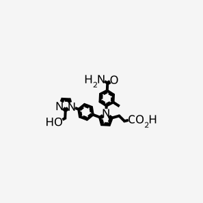 Cc1cc(C(N)=O)ccc1-n1c(CCC(=O)O)ccc1-c1ccc(-n2ccnc2CO)cc1